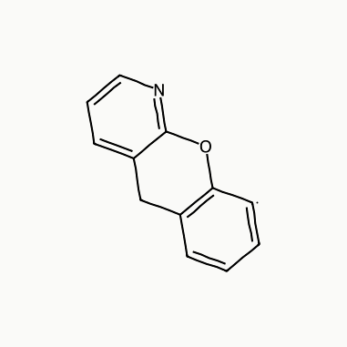 [c]1cccc2c1Oc1ncccc1C2